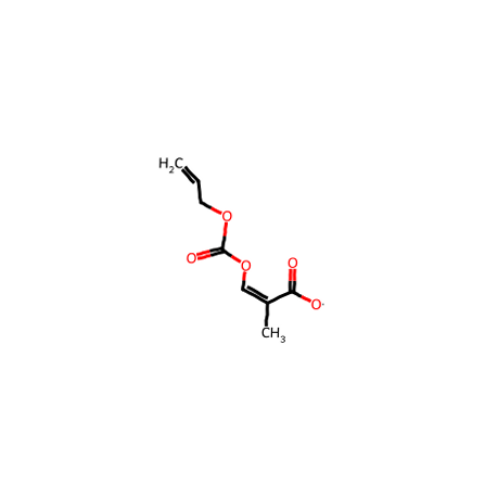 C=CCOC(=O)OC=C(C)C([O])=O